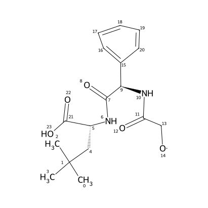 CC(C)(C)C[C@@H](NC(=O)[C@H](NC(=O)C[O])c1ccccc1)C(=O)O